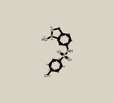 O=S(=O)(Nc1ccc2c(c1)B(O)OC2)c1ccc(Cl)cc1